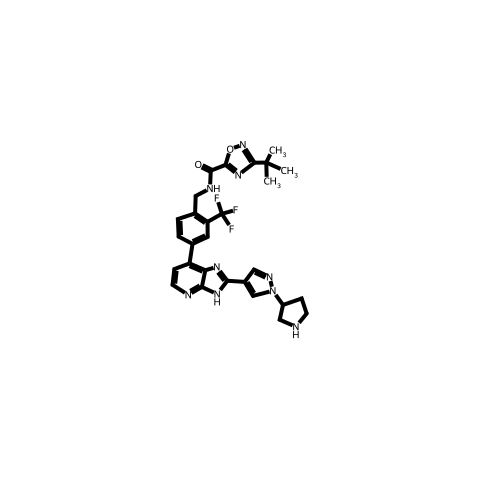 CC(C)(C)c1noc(C(=O)NCc2ccc(-c3ccnc4[nH]c(-c5cnn(C6CCNC6)c5)nc34)cc2C(F)(F)F)n1